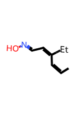 C\C=C/C(=C\C=N\O)CC